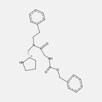 O=C(NCC(=O)N(CCc1ccccc1)C[C@@H]1CCCN1)OCc1ccccc1